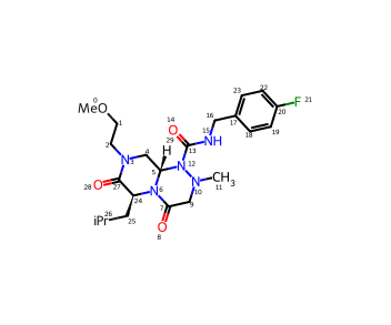 COCCN1C[C@H]2N(C(=O)CN(C)N2C(=O)NCc2ccc(F)cc2)[C@@H](CC(C)C)C1=O